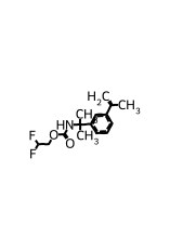 C=C(C)c1cccc(C(C)(C)NC(=O)OCC(F)F)c1